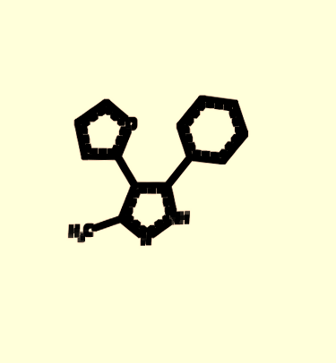 Cc1n[nH]c(-c2ccccc2)c1-c1ccco1